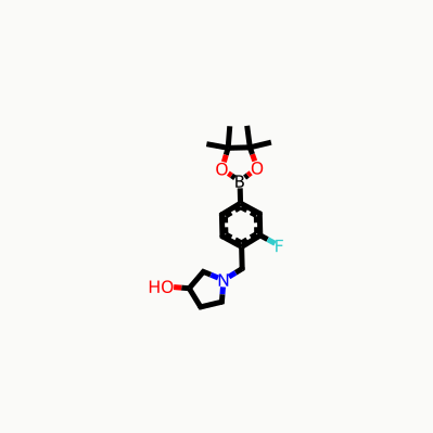 CC1(C)OB(c2ccc(CN3CCC(O)C3)c(F)c2)OC1(C)C